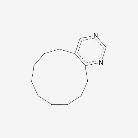 c1ncc2c(n1)CCCCCCCCC2